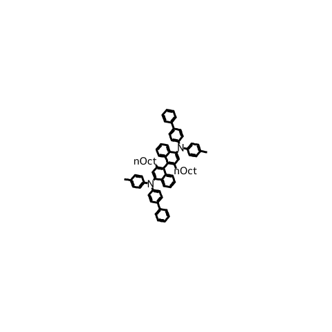 CCCCCCCCc1cc(N(c2ccc(C)cc2)c2ccc(-c3ccccc3)cc2)c2ccccc2c1-c1c(CCCCCCCC)cc(N(c2ccc(C)cc2)c2ccc(-c3ccccc3)cc2)c2ccccc12